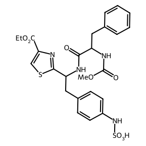 CCOC(=O)c1csc(C(Cc2ccc(NS(=O)(=O)O)cc2)NC(=O)C(Cc2ccccc2)NC(=O)OC)n1